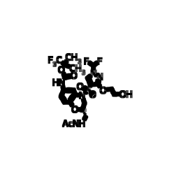 CC(=O)NC[C@H]1CN(S(=O)(=O)c2cn(C(F)F)nc2OCCO)c2cc(NC(=O)OC(C)(C)C(F)(F)F)ccc2O1